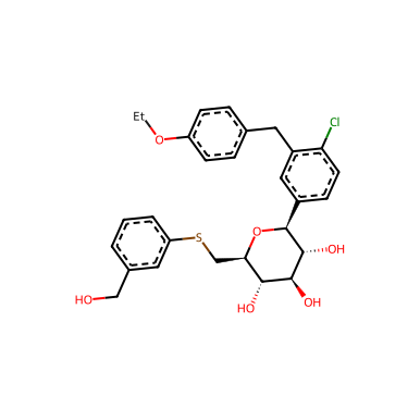 CCOc1ccc(Cc2cc([C@@H]3O[C@H](CSc4cccc(CO)c4)[C@@H](O)[C@H](O)[C@H]3O)ccc2Cl)cc1